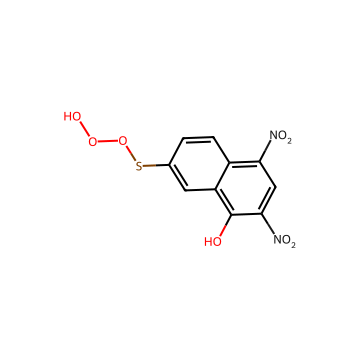 O=[N+]([O-])c1cc([N+](=O)[O-])c2ccc(SOOO)cc2c1O